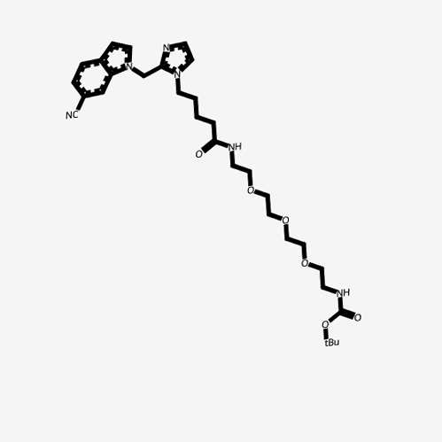 CC(C)(C)OC(=O)NCCOCCOCCOCCNC(=O)CCCCn1ccnc1Cn1ccc2ccc(C#N)cc21